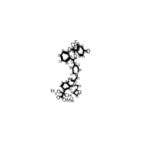 COC(=O)C(C)(C)c1ccc2nc(CN3CCC(C4OC(C)(c5ccc(Cl)cc5F)Oc5ccccc54)CC3)n(C[C@@H]3CCO3)c2c1